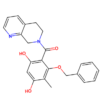 Cc1c(O)cc(O)c(C(=O)N2CCc3cccnc3C2)c1OCc1ccccc1